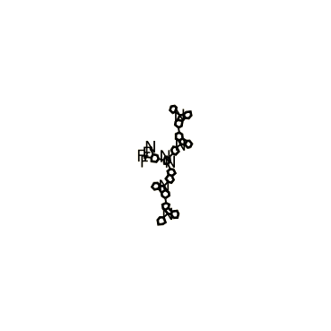 N#Cc1cc(-c2cc(-c3ccc4ccc(-n5c6ccccc6c6cc(-c7ccc8c(c7)c7ccccc7n8-c7ccccc7)ccc65)cc4c3)nc(-c3ccc(-n4c5ccccc5c5cc(-c6ccc7c(c6)c6ccccc6n7-c6ccccc6)ccc54)cc3)n2)ccc1C(F)(F)F